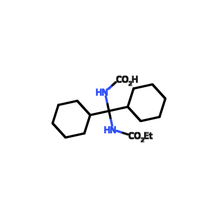 CCOC(=O)NC(NC(=O)O)(C1CCCCC1)C1CCCCC1